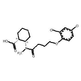 CN(C(=O)CCCOc1ccc(Cl)cc1Cl)[C@H]1CCCC[C@H]1C(=O)O